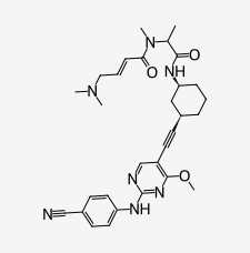 COc1nc(Nc2ccc(C#N)cc2)ncc1C#C[C@@H]1CCC[C@H](NC(=O)C(C)N(C)C(=O)C=CCN(C)C)C1